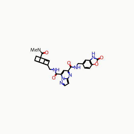 CNC(=O)C12CC3C1C1C2=CC31CNC(=O)c1cc(C(=O)NCc2ccc3oc(=O)[nH]c3c2)nc2ccnn12